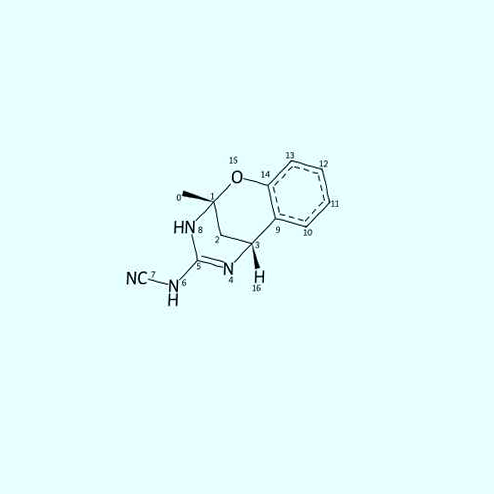 C[C@@]12C[C@@H](N=C(NC#N)N1)c1ccccc1O2